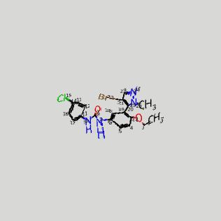 CCOc1ccc(NC(=O)Nc2ccc(Cl)cc2)cc1-c1c(Br)cnn1C